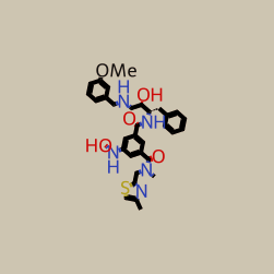 COc1cccc(CNC[C@@H](O)[C@H](Cc2ccccc2)NC(=O)c2cc(NO)cc(C(=O)N(C)Cc3nc(C)cs3)c2)c1